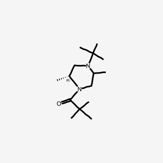 CC1CN(C(=O)C(C)(C)C)[C@H](C)CN1C(C)(C)C